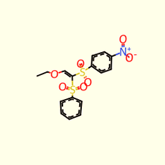 CCO/C=C(\S(=O)(=O)c1ccccc1)S(=O)(=O)c1ccc([N+](=O)[O-])cc1